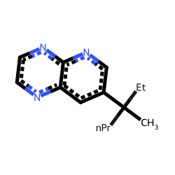 CCCC(C)(CC)c1cnc2nccnc2c1